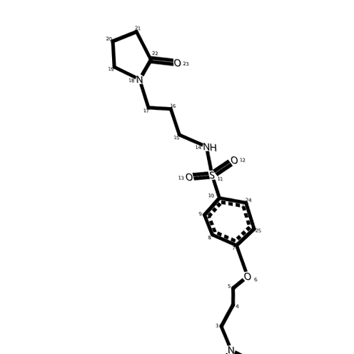 CN(C)CCCOc1ccc(S(=O)(=O)NCCCN2CCCC2=O)cc1